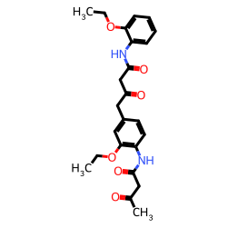 CCOc1cc(CC(=O)CC(=O)Nc2ccccc2OCC)ccc1NC(=O)CC(C)=O